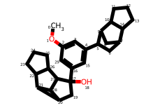 COc1cc(C2CC3CC2C2CCCC32)cc(C2(O)CC3C4C5CCCC5C2C34)c1